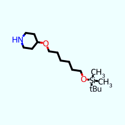 CC(C)(C)[Si](C)(C)OCCCCCCOC1CCNCC1